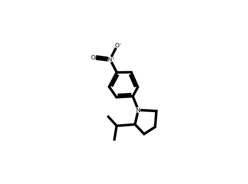 CC(C)C1CCCN1c1ccc([N+](=O)[O-])cc1